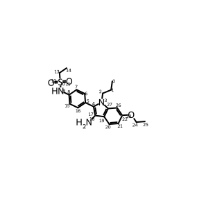 CCCn1c(-c2ccc(NS(=O)(=O)CC)cc2)c(N)c2ccc(OCC)cc21